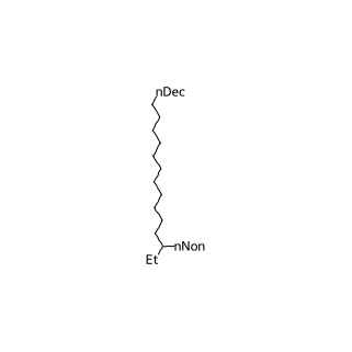 [CH2]CC(CCCCCCCCC)CCCCCCCCCCCCCCCCCCCCC